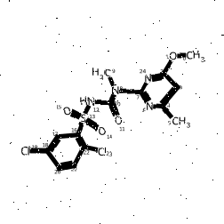 COc1cc(C)nc(N(C)C(=O)NS(=O)(=O)c2cc(Cl)ccc2Cl)n1